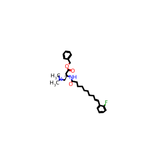 CN(C)C[C@@H](CC(=O)OCc1ccccc1)NC(=O)CCCCCCCC=Cc1ccccc1F